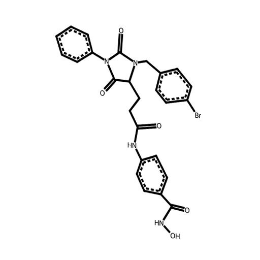 O=C(CCC1C(=O)N(c2ccccc2)C(=O)N1Cc1ccc(Br)cc1)Nc1ccc(C(=O)NO)cc1